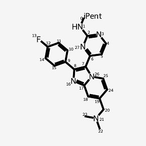 CCCC(C)Nc1nccc(-c2c(-c3ccc(F)cc3)nc3cc(CN(C)C)ccn23)n1